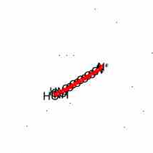 [N-]=[N+]=NCCOCCOCCOCCOCCOCCOCCOCCOCCOCCC(=O)NCCNC(=O)O